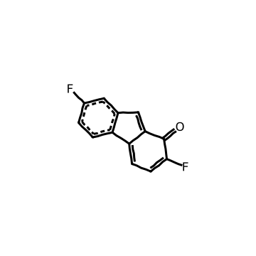 O=C1C(F)=CC=C2C1=Cc1cc(F)ccc12